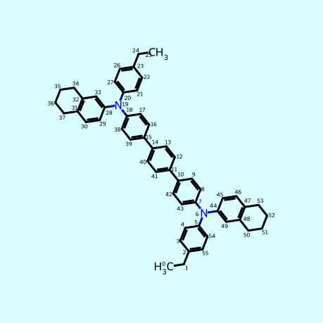 CCc1ccc(N(c2ccc(-c3ccc(-c4ccc(N(c5ccc(CC)cc5)c5ccc6c(c5)CCCC6)cc4)cc3)cc2)c2ccc3c(c2)CCCC3)cc1